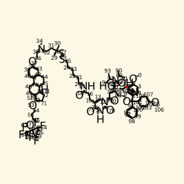 COc1ccc(C(OC[C@H]2O[C@@H](n3cc(CCC(=O)NCCCCCCSSC(C)(C)CCN(C)CCOc4ccc5c(c4)CCC4C5CC[C@]5(C)[C@@H](OCCCOC(C(F)(F)F)(C(F)(F)F)C(F)(F)F)CC[C@@H]45)c(=O)[nH]c3=O)C[C@@H]2P(O)(O)(CCC#N)N(C(C)C)C(C)C)(c2ccccc2)c2ccc(OC)cc2)cc1